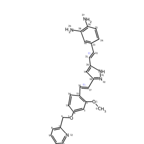 COc1cc(OCc2ccccn2)ccc1/C=C/c1cc(/C=C/c2ccc(N)c(N)c2)[nH]n1